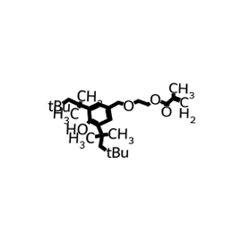 C=C(C)C(=O)OCCOCc1cc(C(C)(C)CC(C)(C)C)c(O)c(C(C)(C)CC(C)(C)C)c1